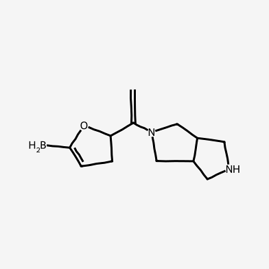 BC1=CCC(C(=C)N2CC3CNCC3C2)O1